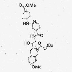 COC(=O)N1CCC(Nc2cc(C(=O)NC[C@@H](O)[C@@H]3Cc4ccc(OC)cc4CN3C(=O)OC(C)(C)C)ccn2)CC1